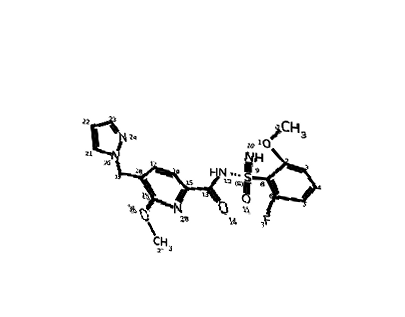 COc1cccc(F)c1[S@](=N)(=O)NC(=O)c1ccc(Cn2cccn2)c(OC)n1